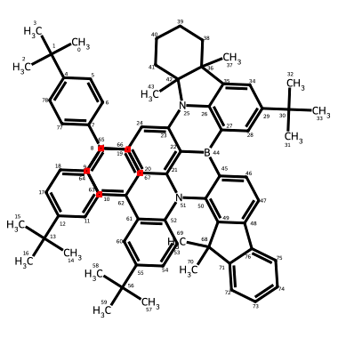 CC(C)(C)c1ccc(N(c2ccc(C(C)(C)C)cc2)c2cc3c4c(c2)N2c5c(cc(C(C)(C)C)cc5C5(C)CCCCC25C)B4c2ccc4c(c2N3c2ccc(C(C)(C)C)cc2-c2ccccc2)C(C)(C)c2ccccc2-4)cc1